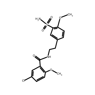 COc1ccc(Cl)cc1C(=O)NCCc1ccc(OC)c(S(N)(=O)=O)c1